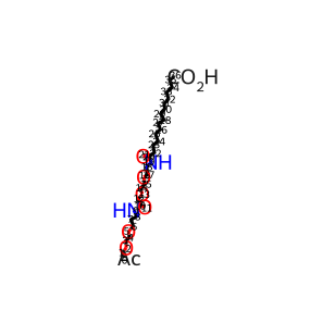 CC(=O)COCCOCCCNC(=O)COCCOCCNC(=O)CCCCCCCCCCCCCCC(=O)O